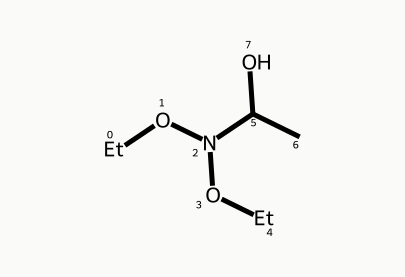 CCON(OCC)C(C)O